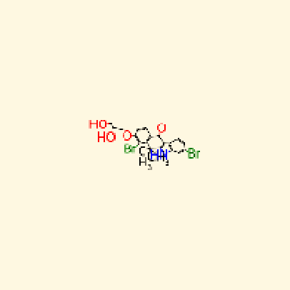 CC1(C)c2[nH]c3cc(Br)ccc3c2C(=O)c2ccc(OC[C@H](O)CO)c(Br)c21